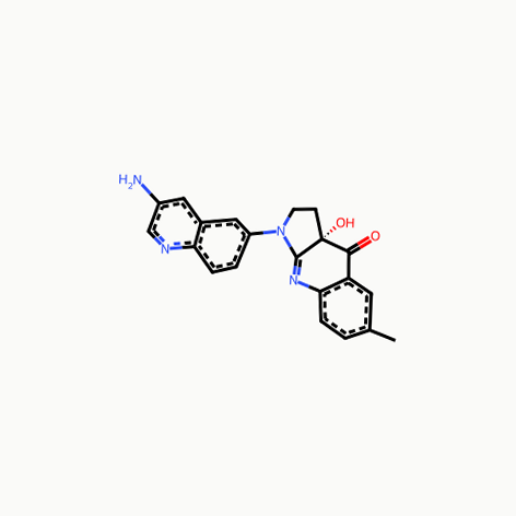 Cc1ccc2c(c1)C(=O)[C@]1(O)CCN(c3ccc4ncc(N)cc4c3)C1=N2